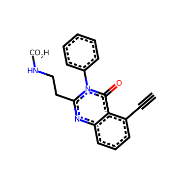 C#Cc1cccc2nc(CCNC(=O)O)n(-c3ccccc3)c(=O)c12